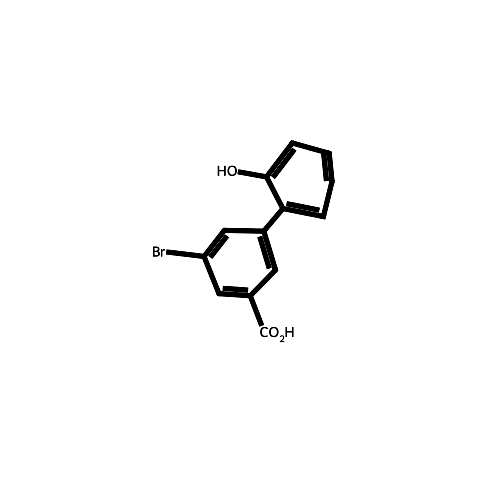 O=C(O)c1cc(Br)cc(-c2ccccc2O)c1